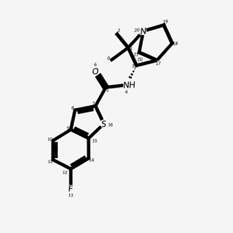 CC1(C)[C@@H](NC(=O)c2cc3ccc(F)cc3s2)C2CCN1C2